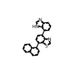 c1ccc2c(-c3ccc(-c4cccc5nc[nH]c45)c4ncsc34)cccc2c1